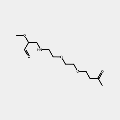 COC(C=O)CNCCOCCOCCC(C)=O